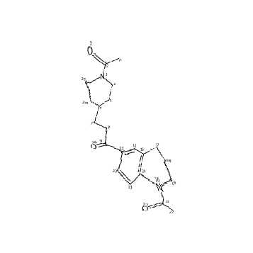 CC(=O)N1CCC(CCC(=O)c2ccc3c(c2)CCCN3C(C)=O)CC1